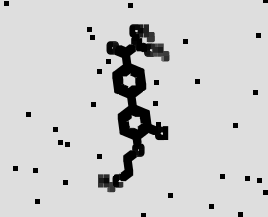 CCCOc1ccc(-c2ccc(C(=O)N(C)C)cc2)cc1Cl